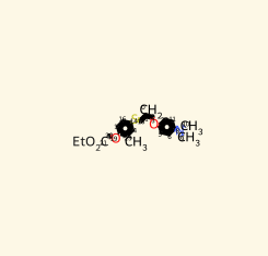 C=C(COc1ccc(N(C)C)cc1)CSc1ccc(OCC(=O)OCC)c(C)c1